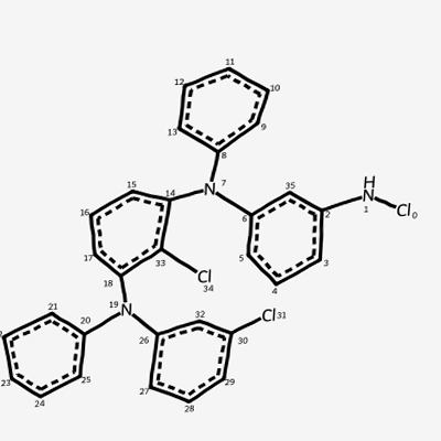 ClNc1cccc(N(c2ccccc2)c2cccc(N(c3ccccc3)c3cccc(Cl)c3)c2Cl)c1